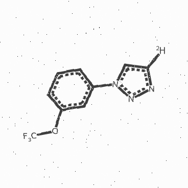 [2H]c1cn(-c2cccc(OC(F)(F)F)c2)nn1